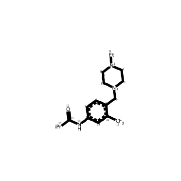 CCN1CCN(Cc2ccc(NC(=O)C(C)C)cc2C(F)(F)F)CC1